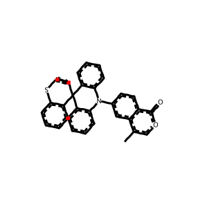 Cc1coc(=O)c2ccc(N3c4ccccc4C4(c5ccccc5Sc5ccccc54)c4ccccc43)cc12